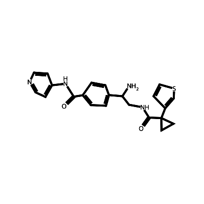 NC(CNC(=O)C1(c2ccsc2)CC1)c1ccc(C(=O)Nc2ccncc2)cc1